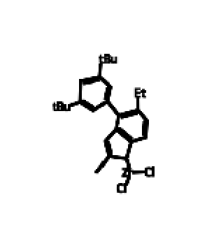 CCc1ccc2c(c1-c1cc(C(C)(C)C)cc(C(C)(C)C)c1)C=C(C)[CH]2[Zr]([Cl])[Cl]